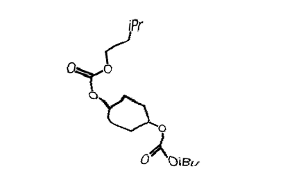 CC(C)CCOC(=O)OC1CCC(OC(=O)OCC(C)C)CC1